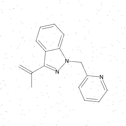 C=C(C)c1nn(Cc2ccccn2)c2ccccc12